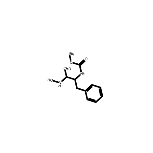 CC(C)(C)OC(=O)NC(Cc1ccccc1)C(C=O)NO